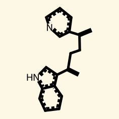 C=C(CCC(=C)c1c[nH]c2ccccc12)c1cccnc1